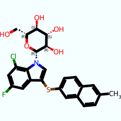 Cc1ccc2cc(Sc3cn([C@@H]4O[C@H](CO)[C@@H](O)[C@H](O)[C@H]4O)c4c(Cl)cc(F)cc34)ccc2c1